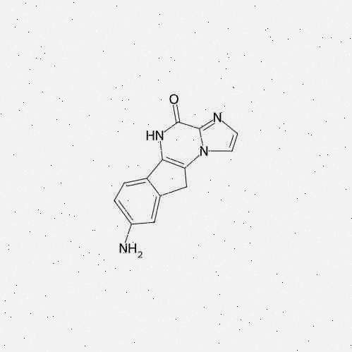 Nc1ccc2c(c1)Cc1c-2[nH]c(=O)c2nccn12